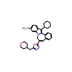 O=C(O)c1ccc2c(C3CCCCC3)c3n(c2c1)CC(c1nnc(CC2CCOCC2)o1)=Cc1ccccc1-3